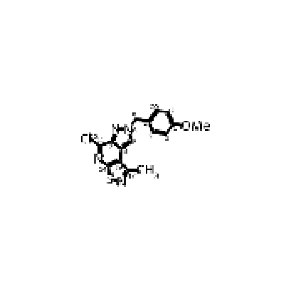 COc1ccc(Cn2cc3c(n2)c(Cl)nc2snc(C)c23)cc1